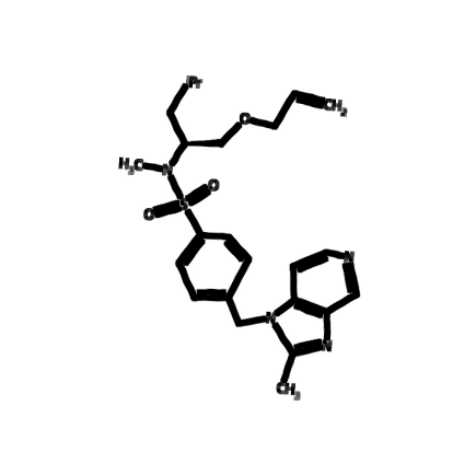 C=CCOC[C@H](CC(C)C)N(C)S(=O)(=O)c1ccc(Cn2c(C)nc3cnccc32)cc1